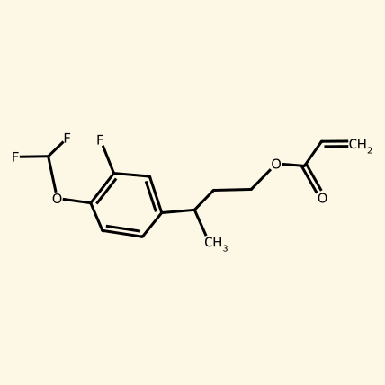 C=CC(=O)OCCC(C)c1ccc(OC(F)F)c(F)c1